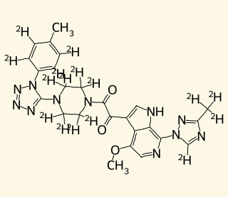 [2H]c1c([2H])c(-n2nnnc2N2C([2H])([2H])C([2H])([2H])N(C(=O)C(=O)c3c[nH]c4c(-n5nc(C([2H])([2H])[2H])nc5[2H])ncc(OC)c34)C([2H])([2H])C2([2H])[2H])c([2H])c([2H])c1C